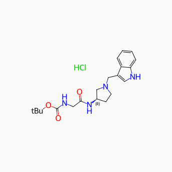 CC(C)(C)OC(=O)NCC(=O)N[C@@H]1CCN(Cc2c[nH]c3ccccc23)C1.Cl